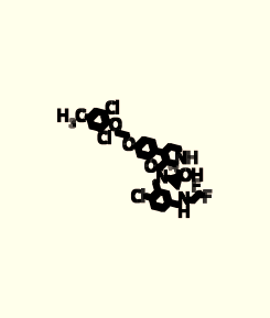 Cc1cc(Cl)c(OCCOc2ccc(C3=C(C(=O)N(Cc4cc(CNCC(F)F)ccc4Cl)C4CC4)[C@@H](CO)NCC3)cc2)c(Cl)c1